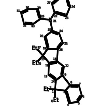 CCC1(CC)c2ccccc2-c2cc3c(cc21)C(CC)(CC)c1cc(B(c2ccccc2)c2ccccc2)ccc1-3